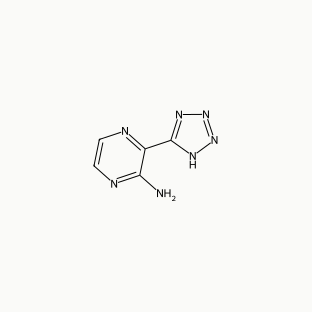 Nc1nccnc1-c1nnn[nH]1